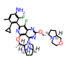 Cc1cc(N)c(F)c(-c2nc3c4c(nc(OC[C@@H]5CC[C@H]6COCCN65)nc4c2F)N2C[C@H]4CC[C@H](N4)[C@H]2[C@H](C)O3)c1C1CC1